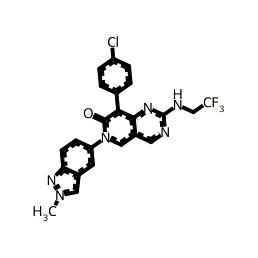 Cn1cc2cc(-n3cc4cnc(NCC(F)(F)F)nc4c(-c4ccc(Cl)cc4)c3=O)ccc2n1